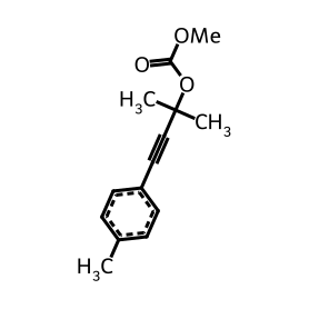 COC(=O)OC(C)(C)C#Cc1ccc(C)cc1